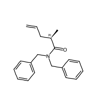 C=CC[C@@H](C)C(=O)N(Cc1ccccc1)Cc1ccccc1